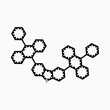 c1ccc(-c2c3ccccc3c(-c3ccc4sc5ccc(-c6c7ccccc7c(-c7ccccc7)c7ccccc67)cc5c4c3)c3ccccc23)cc1